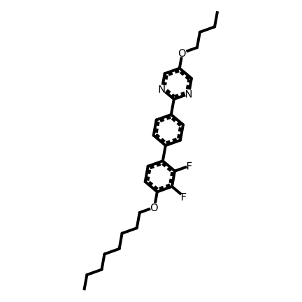 CCCCCCCCOc1ccc(-c2ccc(-c3ncc(OCCCC)cn3)cc2)c(F)c1F